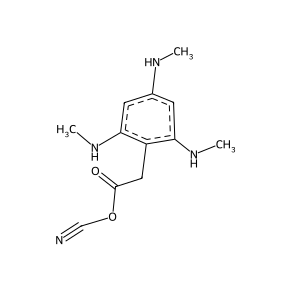 CNc1cc(NC)c(CC(=O)OC#N)c(NC)c1